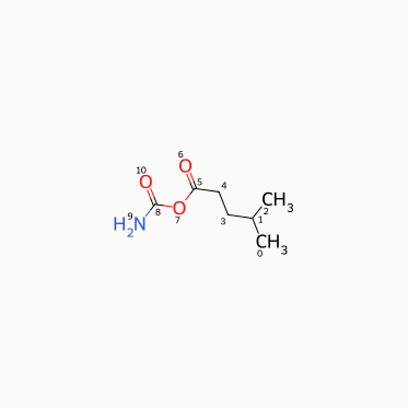 CC(C)CCC(=O)OC(N)=O